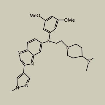 COc1cc(OC)cc(N(CCN2CCC(N(C)C)CC2)c2ccc3ncc(-c4cnn(C)c4)nc3c2)c1